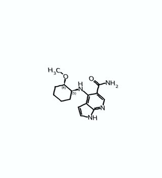 CO[C@@H]1CCCC[C@@H]1Nc1c(C(N)=O)cnc2[nH]ccc12